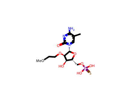 COCCO[C@@H]1[C@H](O)[C@@H](COP(O)(O)=S)O[C@H]1n1cc(C)c(N)nc1=O